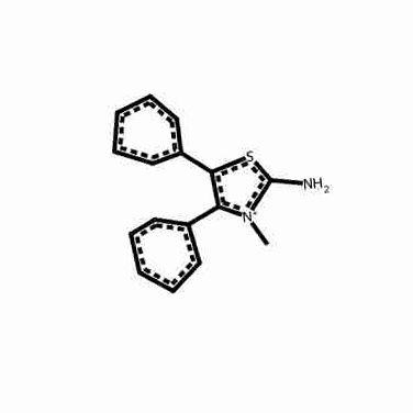 C[n+]1c(N)sc(-c2ccccc2)c1-c1ccccc1